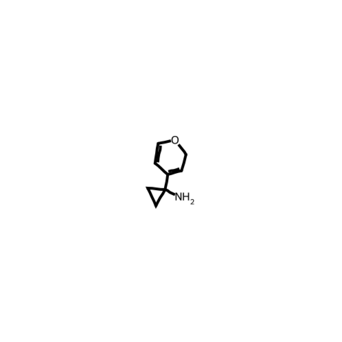 NC1(C2=CCOC=C2)CC1